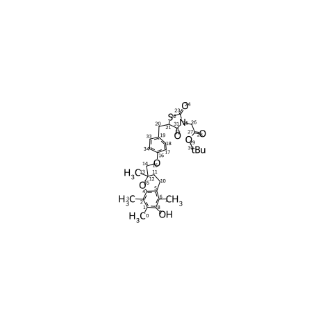 Cc1c(C)c2c(c(C)c1O)CCC(C)(COc1ccc(CC3SC(=O)N(CC(=O)OC(C)(C)C)C3=O)cc1)O2